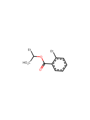 CCc1ccccc1C(=O)OC(CC)C(=O)O